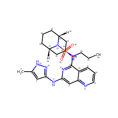 Cc1cc(Nc2cc3ncccc3c(N[C@@H]3C[C@H]4CCC[C@@H](C3)N4S(=O)(=O)NCCC#N)n2)n[nH]1